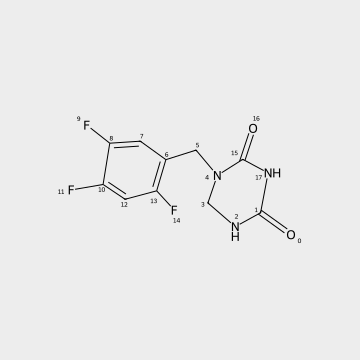 O=C1NCN(Cc2cc(F)c(F)cc2F)C(=O)N1